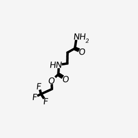 NC(=O)CCNC(=O)OCC(F)(F)F